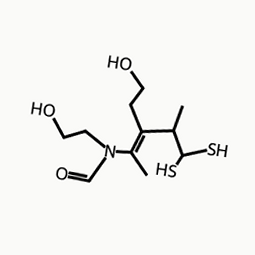 CC(=C(CCO)C(C)C(S)S)N(C=O)CCO